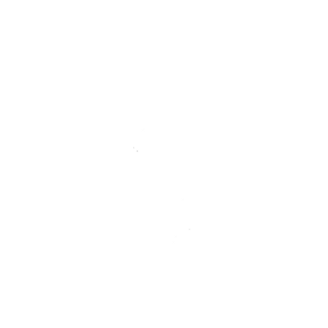 CCOC(=O)C(C)(C)Oc1ccc(Oc2cc(F)cc(C(=O)N3Cc4ccc(Cl)cc4C3)c2)cc1C